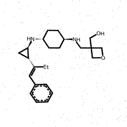 CC/C(=C\c1ccccc1)[C@@H]1C[C@H]1N[C@H]1CC[C@H](NCC2(CO)COC2)CC1